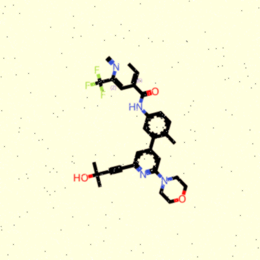 C=N/C(=C\C(=C/C)C(=O)Nc1ccc(C)c(-c2cc(C#CC(C)(C)O)nc(N3CCOCC3)c2)c1)C(F)(F)F